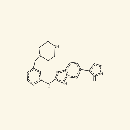 c1cc(-c2ccc3nc(Nc4cc(CN5CCNCC5)ccn4)[nH]c3c2)[nH]n1